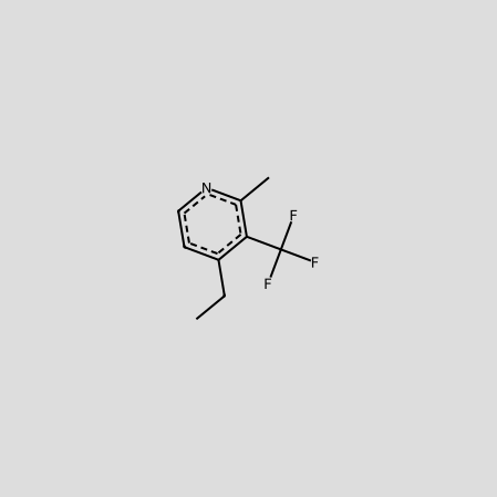 CCc1ccnc(C)c1C(F)(F)F